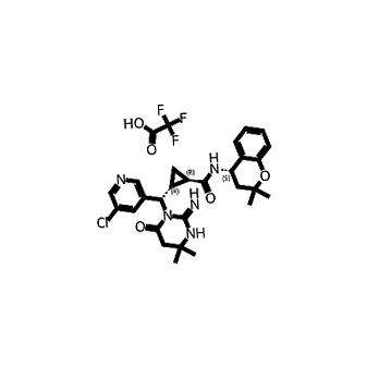 CC1(C)CC(=O)N(C(c2cncc(Cl)c2)[C@@H]2C[C@H]2C(=O)N[C@H]2CC(C)(C)Oc3ccccc32)C(=N)N1.O=C(O)C(F)(F)F